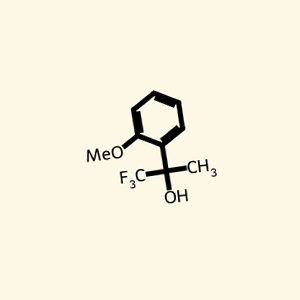 COc1ccccc1C(C)(O)C(F)(F)F